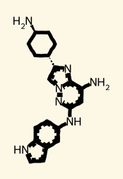 Nc1cc(Nc2ccc3[nH]ccc3c2)nn2cc([C@H]3CC[C@H](N)CC3)nc12